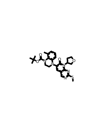 CSc1ncc2cc(N3CCN(C(=O)OC(C)(C)C)c4c(C)cccc43)c(=O)n(C3CCOC3)c2n1